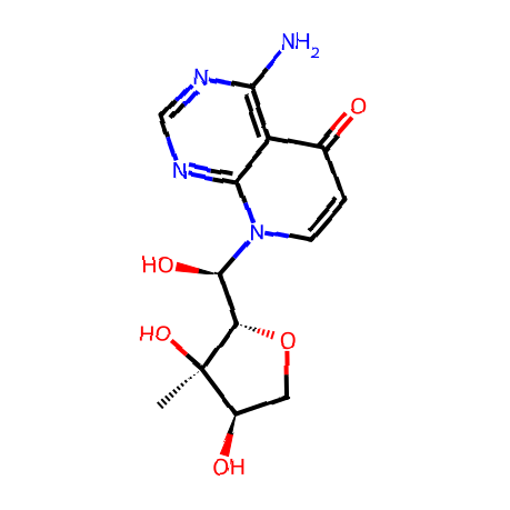 C[C@@]1(O)[C@H](O)CO[C@H]1[C@@H](O)n1ccc(=O)c2c(N)ncnc21